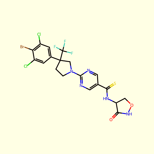 O=C1NOCC1NC(=S)c1cnc(N2CCC(c3cc(Cl)c(Br)c(Cl)c3)(C(F)(F)F)C2)nc1